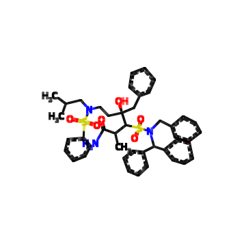 CC(C)CN(CC[C@](O)(Cc1ccccc1)C(C(C)C(N)=O)S(=O)(=O)N(Cc1ccccc1)C(c1ccccc1)c1ccccc1)S(=O)(=O)c1ccccc1